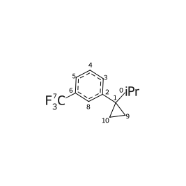 CC(C)C1(c2cccc(C(F)(F)F)c2)CC1